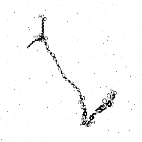 CCCCCCCCCCCC(CCCCCCCCCCC(=O)O)(C(=O)O)C(=O)NCCOCCOCCOCCOCCOCCOCCOCCOCCOCCOCCOCCOCCC(=O)NCC(=O)OC(C)(C)c1ccc(C(=O)Nc2cc(F)cc(-c3ncnc4[nH]c(-c5ccc(CCN6CCC7(CC6)CCN(C(=O)c6ccc(OC)c(N8CCC(=O)NC8=O)c6)CC7)cc5)cc34)c2C)c(F)c1